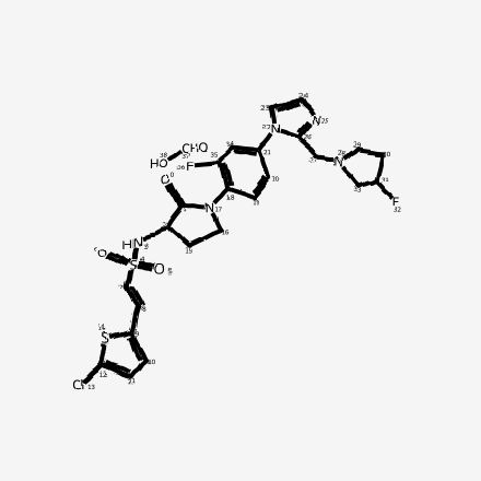 O=C1C(NS(=O)(=O)C=Cc2ccc(Cl)s2)CCN1c1ccc(-n2ccnc2CN2CCC(F)C2)cc1F.O=CO